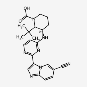 CC(C)(C)C1[C@H](Nc2ccnc(-c3cnc4ccc(C#N)cn34)n2)CCCN1C(=O)O